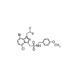 COc1ccc(CNS(=O)(=O)Cc2nn(CC(F)F)c3c(Br)ccc(Cl)c23)cc1